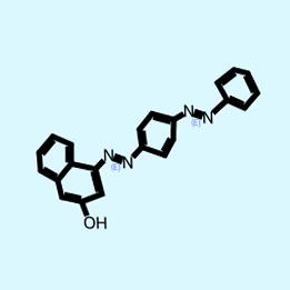 Oc1cc(/N=N/c2ccc(/N=N/c3ccccc3)cc2)c2ccccc2c1